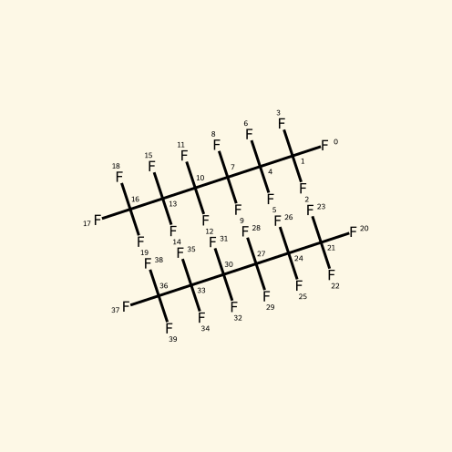 FC(F)(F)C(F)(F)C(F)(F)C(F)(F)C(F)(F)C(F)(F)F.FC(F)(F)C(F)(F)C(F)(F)C(F)(F)C(F)(F)C(F)(F)F